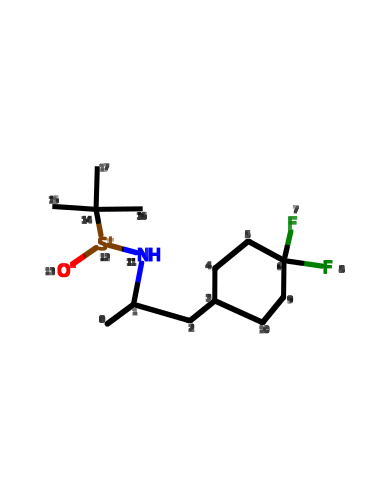 CC(CC1CCC(F)(F)CC1)N[S+]([O-])C(C)(C)C